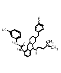 CN(C)CCNC(=O)c1cccc(NC(=O)Nc2cccc(C#N)c2)c1CN1CCC(Cc2ccc(F)cc2)CC1